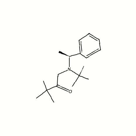 C[C@@H](c1ccccc1)N(CC(=O)C(C)(C)C)C(C)(C)C